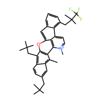 Cc1c2c(c(CC(C)(C)C)c3ccc(CC(C)(C)C)cc13)Oc1cc3cccc(CC(C)(C)C(F)(F)F)c3c3cc[n+](C)c-2c13